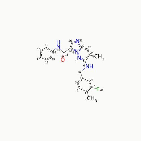 Cc1ccc(CNc2nn3c(C(=O)Nc4ccccc4)cnc3cc2C)cc1F